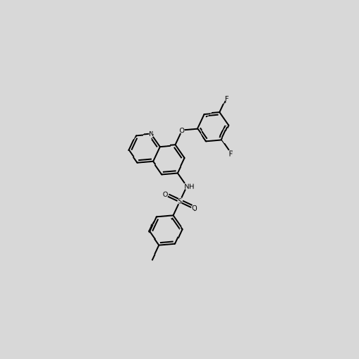 Cc1ccc(S(=O)(=O)Nc2cc(Oc3cc(F)cc(F)c3)c3ncccc3c2)cc1